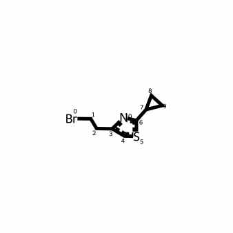 BrCCc1csc(C2CC2)n1